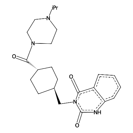 CC(C)N1CCN(C(=O)[C@H]2CC[C@H](Cn3c(=O)[nH]c4ccccc4c3=O)CC2)CC1